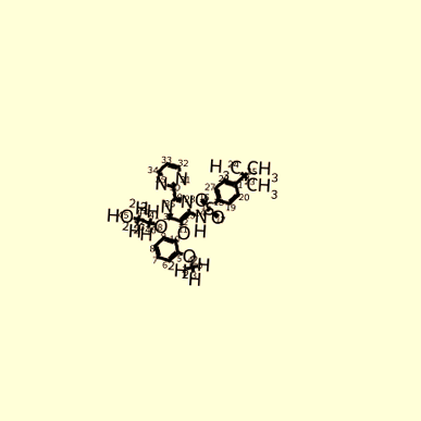 [2H]C([2H])([2H])Oc1ccccc1Oc1c(NS(=O)(=O)c2ccc(C(C)(C)C)cc2)nc(-c2ncccn2)nc1OC([2H])([2H])C([2H])([2H])O